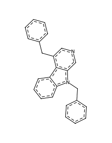 c1ccc(Cc2cncc3c2c2ccccc2n3Cc2ccccc2)cc1